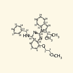 COCCOc1cccc2c(NCc3ccccc3)nc(-n3c(C(C)C)cc4ccccc43)nc12